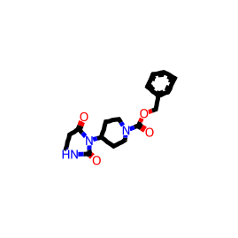 O=C(OCc1ccccc1)N1CCC(N2C(=O)CCNC2=O)CC1